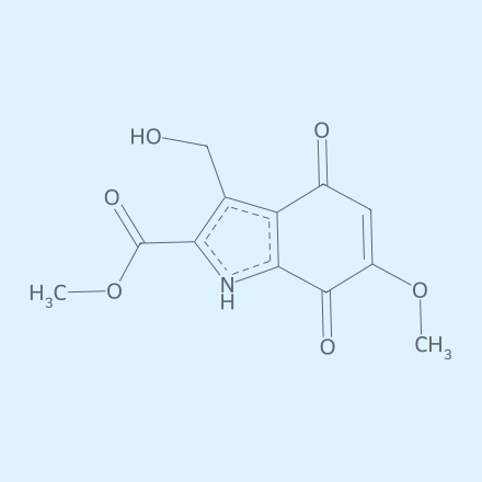 COC(=O)c1[nH]c2c(c1CO)C(=O)C=C(OC)C2=O